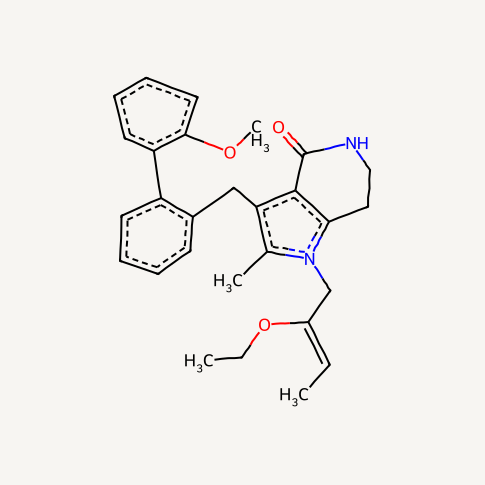 CC=C(Cn1c(C)c(Cc2ccccc2-c2ccccc2OC)c2c1CCNC2=O)OCC